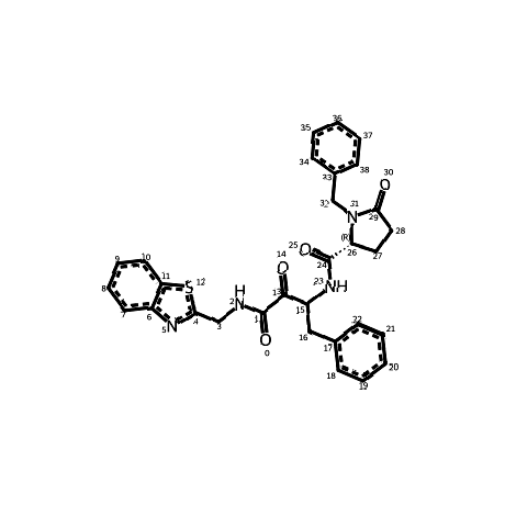 O=C(NCc1nc2ccccc2s1)C(=O)C(Cc1ccccc1)NC(=O)[C@H]1CCC(=O)N1Cc1ccccc1